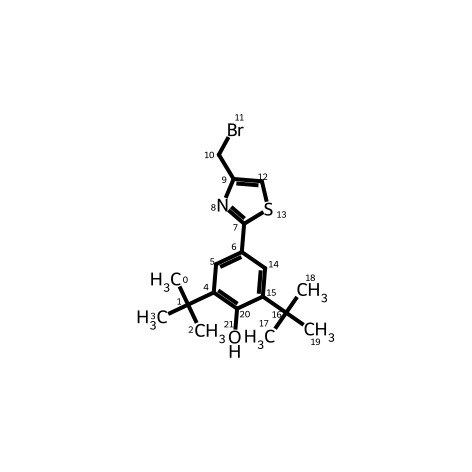 CC(C)(C)c1cc(-c2nc(CBr)cs2)cc(C(C)(C)C)c1O